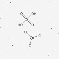 O=S(=O)(O)O.[Cl][Co]([Cl])[Cl]